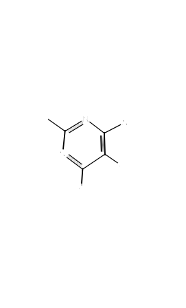 Cc1nc(N)c(Cl)c(Cl)n1